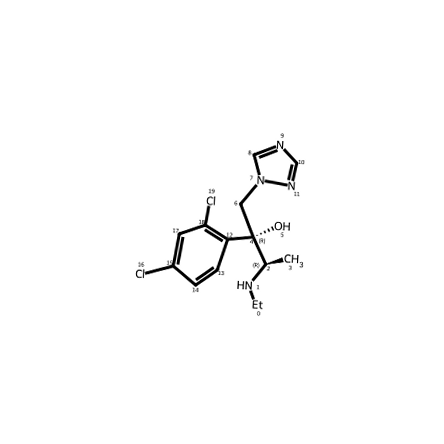 CCN[C@H](C)[C@](O)(Cn1cncn1)c1ccc(Cl)cc1Cl